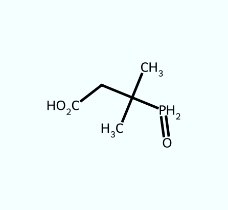 CC(C)(CC(=O)O)[PH2]=O